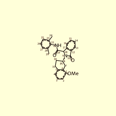 COc1cccc2c1C[C@H](N1C(=O)c3ccccc3C1C(=O)Nc1c(C)cccc1C)CC2